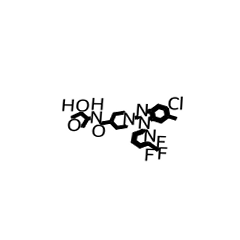 Cc1cc2c(cc1Cl)nc(N1CCC(C(=O)NC3COCC3O)CC1)n2-c1cccc(C(F)(F)F)n1